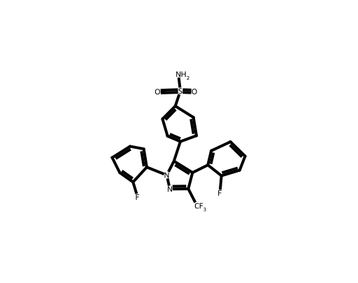 NS(=O)(=O)c1ccc(-c2c(-c3ccccc3F)c(C(F)(F)F)nn2-c2ccccc2F)cc1